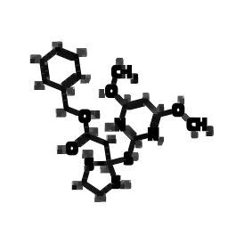 COc1cc(OC)nc(SC2(CC(=O)OCc3ccccc3)SCCS2)n1